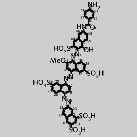 COc1cc(N=Nc2ccc(N=Nc3ccc4cc(S(=O)(=O)O)cc(S(=O)(=O)O)c4c3)c3ccc(S(=O)(=O)O)cc23)c2cc(S(=O)(=O)O)ccc2c1N=Nc1c(S(=O)(=O)O)cc2cc(NC(=O)c3ccc(N)cc3)ccc2c1O